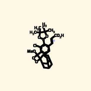 COC1(c2ccc(/C=C/C(=O)O)c(B3OC(C)(C)C(C)(C)O3)c2Cl)OOC12C1CC3CC(C1)CC2C3